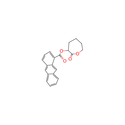 O=C(OC1CCCCOC1=O)c1cccc2cc3ccccc3cc12